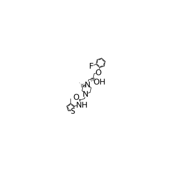 Cc1ccsc1NC(=O)CN1CCN(C[C@H](O)COc2ccccc2F)[C@@H](C)C1